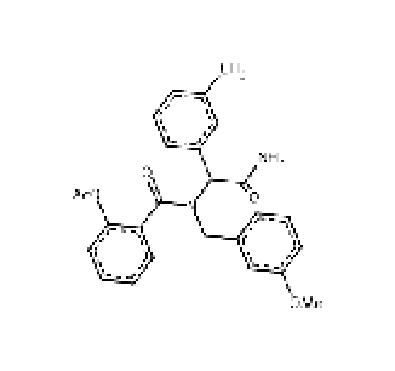 COc1cccc(CN(C(=O)c2ccccc2OC(C)=O)C(C(N)=O)c2cccc(C)c2)c1